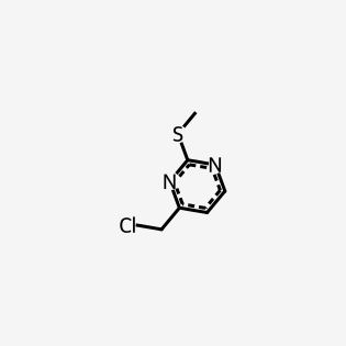 CSc1nccc(CCl)n1